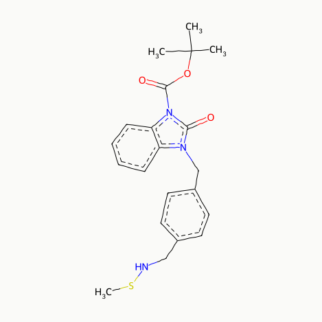 CSNCc1ccc(Cn2c(=O)n(C(=O)OC(C)(C)C)c3ccccc32)cc1